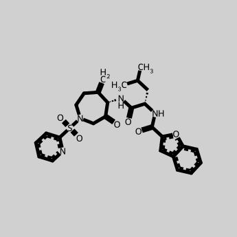 C=C1CCN(S(=O)(=O)c2ccccn2)CC(=O)[C@H]1NC(=O)[C@H](CC(C)C)NC(=O)c1cc2ccccc2o1